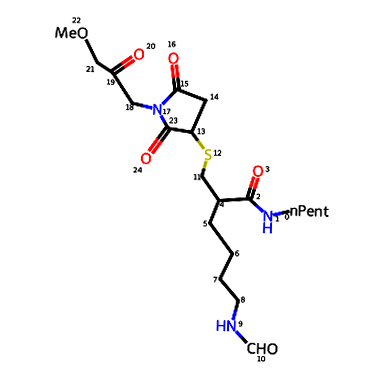 CCCCCNC(=O)C(CCCCNC=O)CSC1CC(=O)N(CC(=O)COC)C1=O